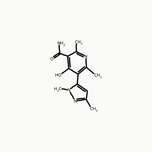 Cc1cc(-c2c(C)nc(C)c(C(N)=O)c2O)n(C)n1